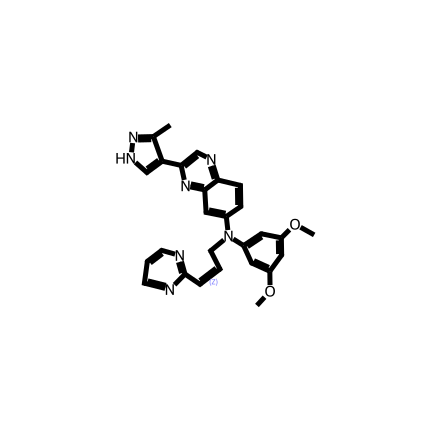 COc1cc(OC)cc(N(C/C=C\c2ncccn2)c2ccc3ncc(-c4c[nH]nc4C)nc3c2)c1